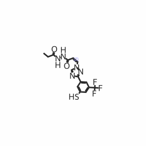 CCC(=O)NNC(=O)/C=C\n1cnc(-c2cc(S)cc(C(F)(F)F)c2)n1